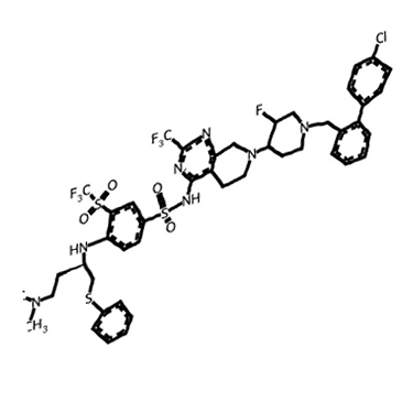 CN(C)CC[C@H](CSc1ccccc1)Nc1ccc(S(=O)(=O)Nc2nc(C(F)(F)F)nc3c2CCN(C2CCN(Cc4ccccc4-c4ccc(Cl)cc4)CC2F)C3)cc1S(=O)(=O)C(F)(F)F